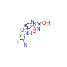 C[C@@H]1Cc2nn3c(c2CN1C(=O)Nc1ccc(F)c(C#N)c1)C(=O)N(C)C[C@H](CO)C3